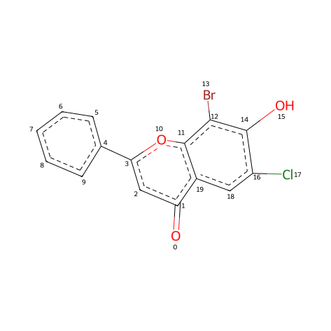 O=c1cc(-c2ccccc2)oc2c(Br)c(O)c(Cl)cc12